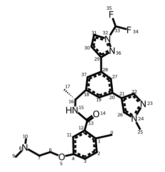 Cc1ccc(OCCN(C)C)cc1C(=O)N[C@H](C)c1cc(-c2cnn(C)c2)cc(-c2ccn(C(F)F)n2)c1